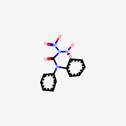 O=C(N(c1ccccc1)c1ccccc1)N([N+](=O)[O-])[N+](=O)[O-]